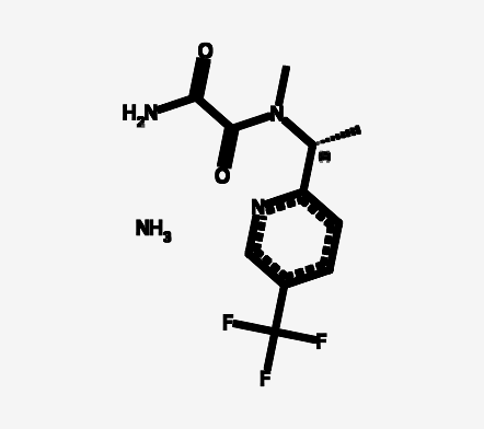 C[C@H](c1ccc(C(F)(F)F)cn1)N(C)C(=O)C(N)=O.N